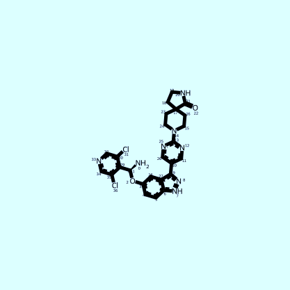 N[C@@H](Oc1ccc2[nH]nc(-c3cnc(N4CCC5(CCNC5=O)CC4)nc3)c2c1)c1c(Cl)cncc1Cl